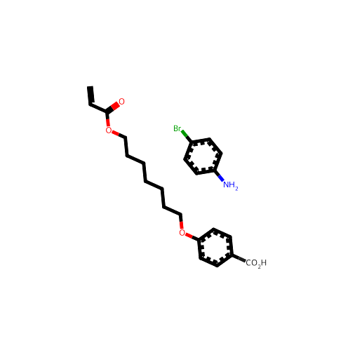 C=CC(=O)OCCCCCCCOc1ccc(C(=O)O)cc1.Nc1ccc(Br)cc1